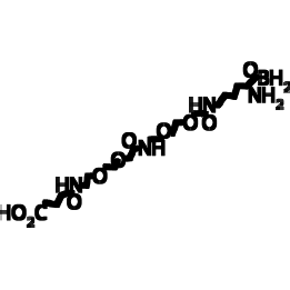 BC(=O)[C@@H](N)CCCCNC(=O)COCCOCCNC(=O)COCCOCCNC(=O)CCCC(=O)O